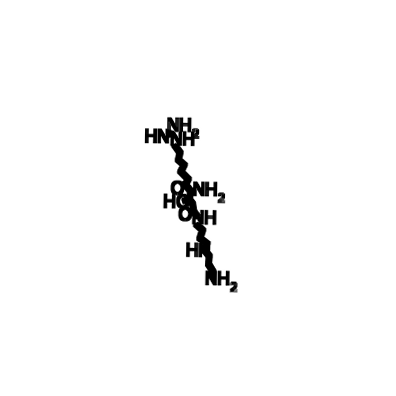 N=C(N)NCCCCCCC(=O)C(N)C(O)CC(=O)NCCCCNCCCN